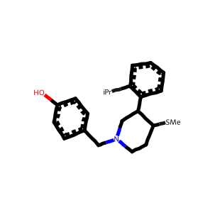 CSC1CCN(Cc2ccc(O)cc2)CC1c1ccccc1C(C)C